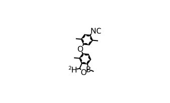 [2H]C1OB(C)c2ccc(Oc3cc(C)c([N+]#[C-])cc3C)c(C)c21